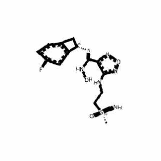 C[S@](=N)(=O)CCNc1nonc1C(=N[C@H]1Cc2ccc(F)cc21)NO